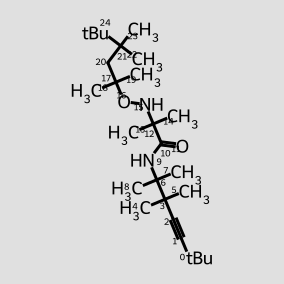 CC(C)(C)C#CC(C)(C)C(C)(C)NC(=O)C(C)(C)NOC(C)(C)CC(C)(C)C(C)(C)C